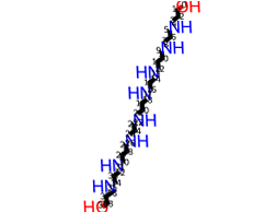 OCCCNCCCNCCCCNCCCNCCCCNCCCNCCCCNCCCNCCCO